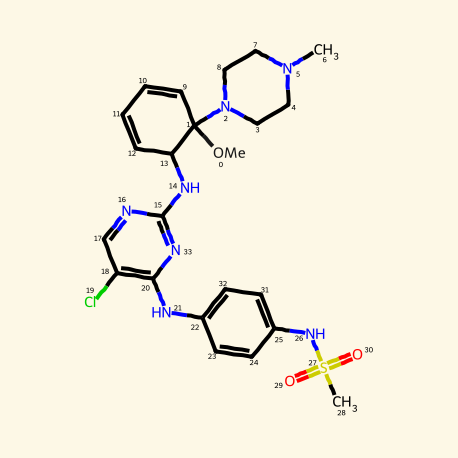 COC1(N2CCN(C)CC2)C=CC=CC1Nc1ncc(Cl)c(Nc2ccc(NS(C)(=O)=O)cc2)n1